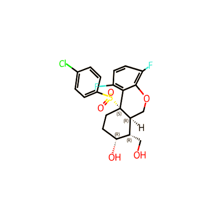 O=S(=O)(c1ccc(Cl)cc1)[C@@]12CC[C@@H](O)[C@@H](CO)[C@@H]1COc1c(F)ccc(F)c12